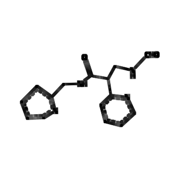 O=CNCC(C(=O)NCc1ccccn1)c1ccccn1